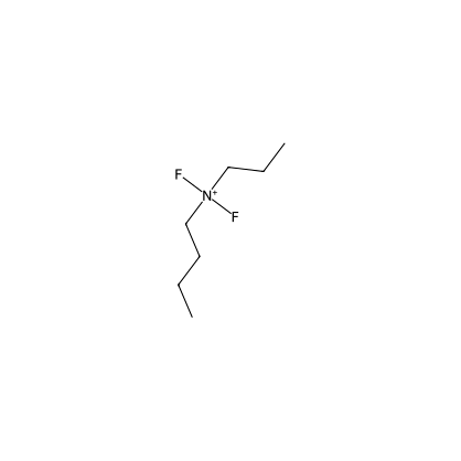 CCCC[N+](F)(F)CCC